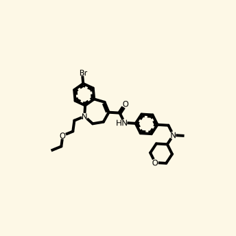 CCOCCN1CCC(C(=O)Nc2ccc(CN(C)C3CCOCC3)cc2)=Cc2cc(Br)ccc21